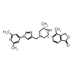 Cc1cc(-n2cnc(CN3C[C@@H](c4ccc5c(c4C)COC5=O)N[C@@H](C)C3)c2)cc(C)n1